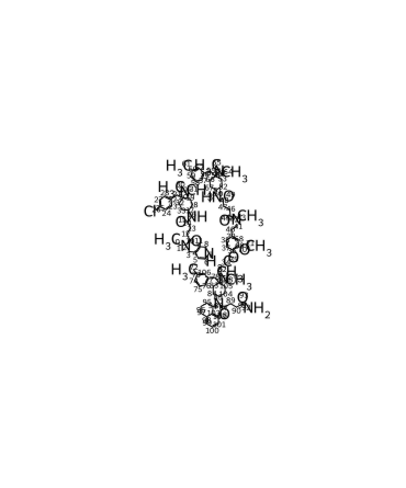 CCN(Cc1ccncc1)C(=O)CCC(=O)NC1CCC(Cc2ccc(Cl)cc2)(N(C)C)CC1.COc1ccc(CCN(C)C(=O)CCC(=O)NC2CCC(Cc3cccc(C)c3)(N(C)C)CC2)cc1OC.Cc1cccc(CC2(N(C)C)CCC(N(C(=O)CCC(N)=O)C3CCCc4ccccc43)CC2)c1